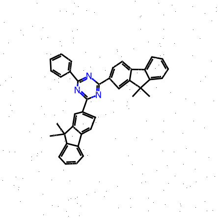 CC1(C)c2ccccc2-c2ccc(-c3nc(-c4ccccc4)nc(-c4ccc5c(c4)C(C)(C)c4ccccc4-5)n3)cc21